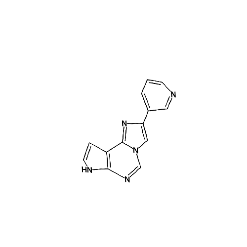 c1cncc(-c2cn3cnc4[nH]ccc4c3n2)c1